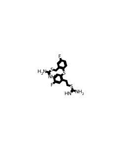 N=C(N)SCCc1cc(F)ccc1Sc1ccc(F)cc1CSC(=N)N